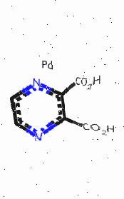 O=C(O)c1nccnc1C(=O)O.[Pd]